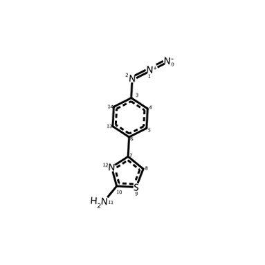 [N-]=[N+]=Nc1ccc(-c2csc(N)n2)cc1